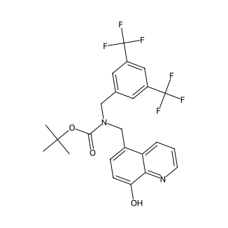 CC(C)(C)OC(=O)N(Cc1cc(C(F)(F)F)cc(C(F)(F)F)c1)Cc1ccc(O)c2ncccc12